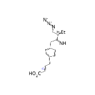 CC[C@H](CN=[N+]=[N-])C(=N)Cc1ccc(C/C=C/C(=O)O)cc1